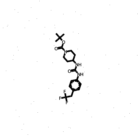 CC(C)(C)OC(=O)N1CCC(NC(=O)Nc2ccc(CC(F)(F)F)cc2)CC1